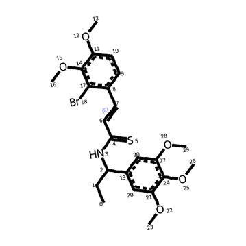 CCC(NC(=S)/C=C/c1ccc(OC)c(OC)c1Br)c1cc(OC)c(OC)c(OC)c1